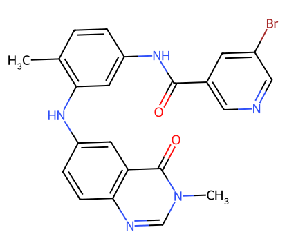 Cc1ccc(NC(=O)c2cncc(Br)c2)cc1Nc1ccc2ncn(C)c(=O)c2c1